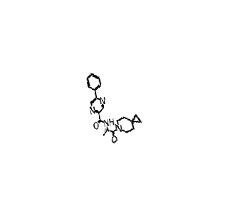 C[C@@H](NC(=O)c1cnc(-c2ccccc2)cn1)C(=O)N1CCC2(CC1)CC2